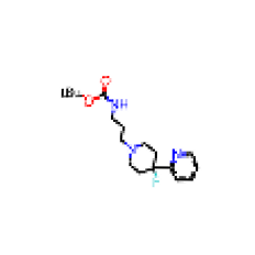 CC(C)(C)OC(=O)NCCCN1CCC(F)(c2ccccn2)CC1